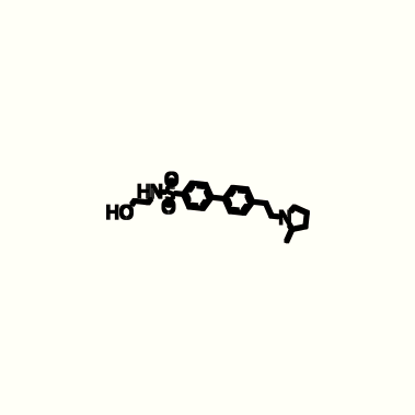 CC1CCCN1CCc1ccc(-c2ccc(S(=O)(=O)NCCO)cc2)cc1